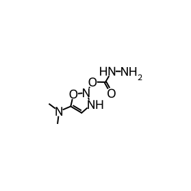 CN(C)C1=CNN(OC(=O)NN)O1